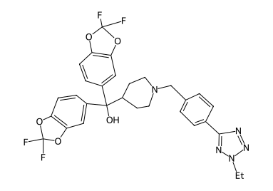 CCn1nnc(-c2ccc(CN3CCC(C(O)(c4ccc5c(c4)OC(F)(F)O5)c4ccc5c(c4)OC(F)(F)O5)CC3)cc2)n1